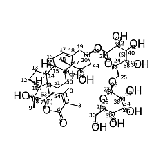 CC1=C(C)C(=O)O[C@@H]([C@](C)(O)[C@H]2CC[C@H]3[C@@H]4CC=C5C[C@@H](O[C@@H]6O[C@H](CO[C@@H]7O[C@H](CO)[C@@H](O)[C@H](O)[C@H]7O)[C@@H](O)[C@H](O)[C@H]6O)C[C@H](O)[C@]5(C)[C@H]4CC[C@]23C)C1